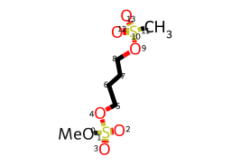 COS(=O)(=O)OCCCCOS(C)(=O)=O